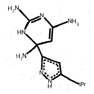 CC(C)c1cc(C2(N)C=C(N)N=C(N)N2)n[nH]1